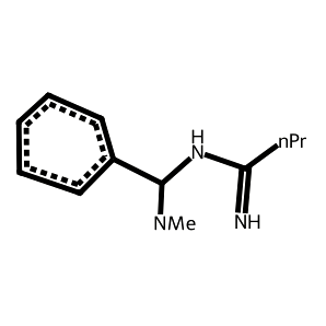 CCCC(=N)NC(NC)c1ccccc1